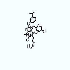 BCCCn1c(=O)c2c(nc(Oc3cccc(C(C)C)c3)n2Cc2ccc(Cl)cn2)n(C)c1=O